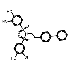 O=S(=O)(c1ccc(O)c(O)c1)N(CCc1ccc(-c2ccccc2)cc1)S(=O)(=O)c1ccc(O)c(O)c1